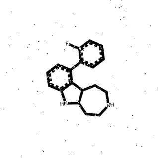 Fc1ccccc1-c1cccc2c1C1CCNCCC1N2